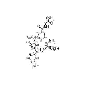 Cl.NC(=O)CNC(=O)c1cccc(-c2cccc3oc(Cc4cccc(CF)c4)cc23)c1.NCC(N)=O